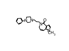 Cn1ccc2c1C=CCN(CCCN1CCN(c3ccccc3)CC1)C2=O